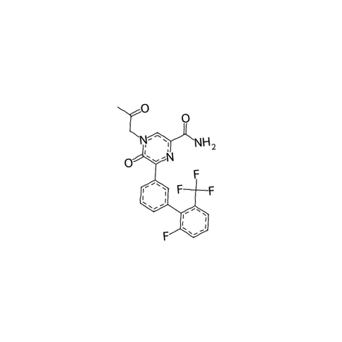 CC(=O)Cn1cc(C(N)=O)nc(-c2cccc(-c3c(F)cccc3C(F)(F)F)c2)c1=O